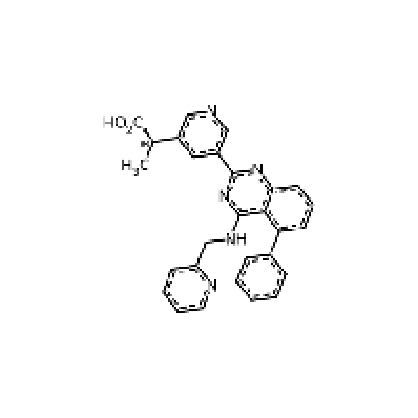 C[C@@H](C(=O)O)c1cncc(-c2nc(NCc3ccccn3)c3c(-c4ccccc4)cccc3n2)c1